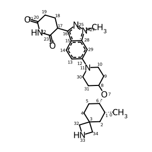 C[C@@H]1CC2(CC[C@@H]1OC1CCN(c3ccc4c(C5CCC(=O)NC5=O)nn(C)c4c3)CC1)CNC2